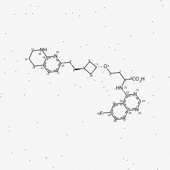 O=C(O)C(CCO[C@H]1C[C@H](CCc2ccc3c(n2)NCCC3)C1)Nc1ncnc2ccc(F)cc12